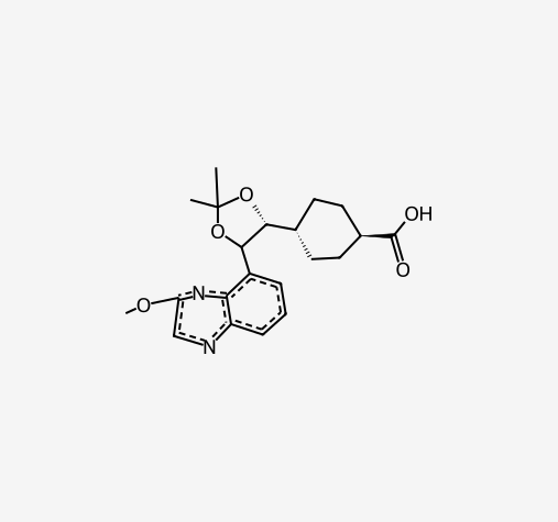 COc1cnc2cccc(C3OC(C)(C)O[C@@H]3[C@H]3CC[C@H](C(=O)O)CC3)c2n1